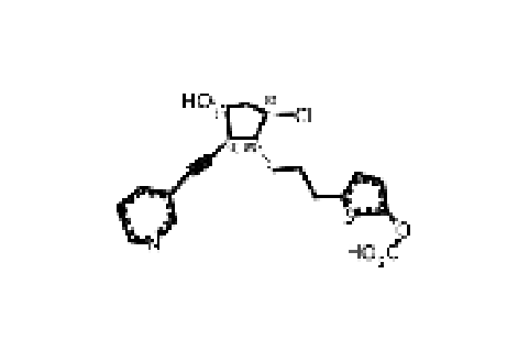 O=C(O)Oc1ccc(CCC[C@@H]2[C@@H](C#Cc3cccnc3)[C@H](O)C[C@H]2Cl)s1